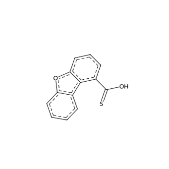 OC(=S)c1cccc2oc3ccccc3c12